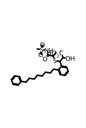 CC(SC(c1ccccc1CCCCCCCCc1ccccc1)C(O)C(=O)O)C(=O)NS(C)(=O)=O